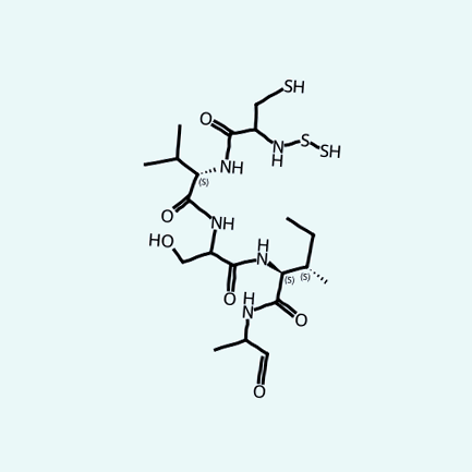 CC[C@H](C)[C@H](NC(=O)C(CO)NC(=O)[C@@H](NC(=O)C(CS)NSS)C(C)C)C(=O)NC(C)C=O